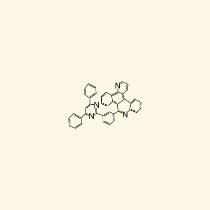 c1ccc(-c2cc(-c3ccccc3)nc(-c3cccc(-c4nc5ccccc5c5c6cccnc6c6ccccc6c45)c3)n2)cc1